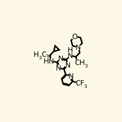 CC(CN1CCOCC1)Nc1nc(N[C@H](C)C2CC2)nc(-c2cccc(C(F)(F)F)n2)n1